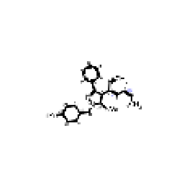 C=C/C(=C\C=C/C)C1C(c2ccccc2)=NN(CC2CCC(CCC)CC2)C1SC